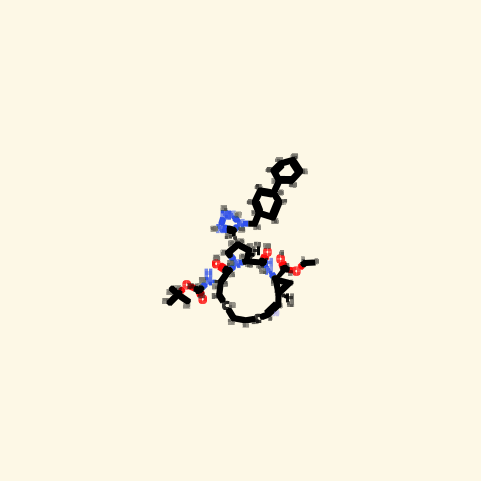 CCOC(=O)[C@@]12C[C@H]1/C=C\CCCCC[C@H](NC(=O)OC(C)(C)C)C(=O)N1C[C@H](c3nnnn3Cc3ccc(-c4ccccc4)cc3)C[C@H]1C(=O)N2